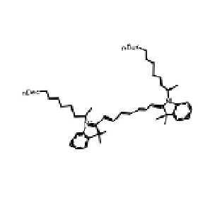 CCCCCCCCCCCCCCCCC(C)N1/C(=C/C=C/C=C/C=C/C2=[N+](C(C)CCCCCCCCCCCCCCCC)c3ccccc3C2(C)C)C(C)(C)c2ccccc21